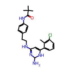 Cc1c(Cl)cccc1C1=CC(NCCc2ccc(NC(=O)C(C)(C)C)cc2)=NC(N)N1